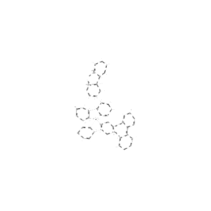 c1ccc2c(c1)-c1cc3c4ccccc4c4ccccc4c3cc1C21c2ccccc2-c2c(-c3ccc4oc5ccccc5c4c3)cccc21